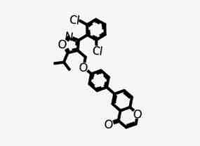 CC(C)c1onc(-c2c(Cl)cccc2Cl)c1COc1ccc(C2=CC3C(=O)C=COC3C=C2)cc1